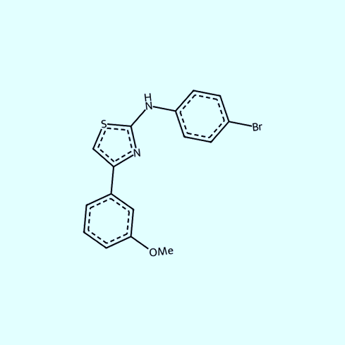 COc1cccc(-c2csc(Nc3ccc(Br)cc3)n2)c1